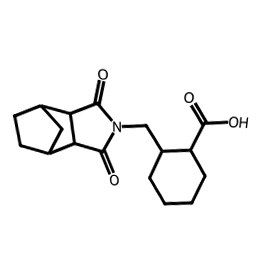 O=C(O)C1CCCCC1CN1C(=O)C2C3CCC(C3)C2C1=O